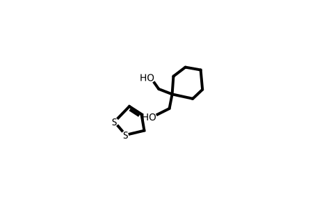 C1=CSSC1.OCC1(CO)CCCCC1